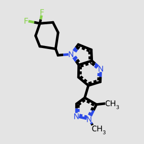 Cc1c(-c2cnc3ccn(CC4CCC(F)(F)CC4)c3c2)cnn1C